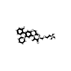 CC1C(=O)N(COCC[Si](C)(C)C)N=C2COc3cc(-c4ccccc4F)c(N4CCCCC4)cc3N21